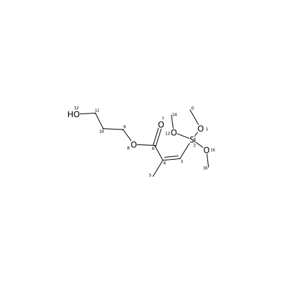 CO[Si](C=C(C)C(=O)OCCCO)(OC)OC